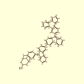 CCC1CC2Cc3ccc(-n4c5ccccc5c5cc(-c6ccc7c(c6)c6ccccc6n7-c6ccc7c8ccccc8c8ccccc8c7c6)ccc54)cc3C(C1)C2